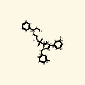 CC(C)(NCC[C@H](CF)c1ccccc1)c1nc(-c2cccc(F)c2)cn1Cc1cccc(F)c1